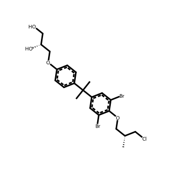 C[C@@H](CCl)COc1c(Br)cc(C(C)(C)c2ccc(OC[C@H](O)CO)cc2)cc1Br